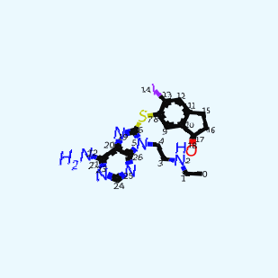 CCNCCn1c(Sc2cc3c(cc2I)CCC3=O)nc2c(N)ncnc21